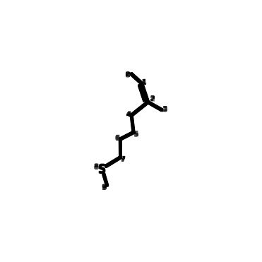 CC=C(C)CCCCSC